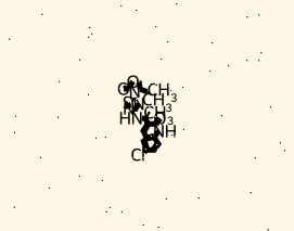 CC(C)C1COC(=O)N1c1nc(N[C@@H](C)c2cc3cc(Cl)ccc3[nH]c2=O)ns1